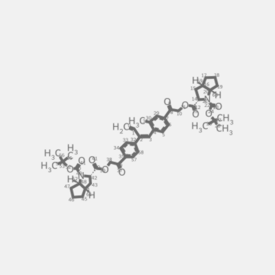 C=C/C(=C\c1ccc(C(=O)COC(=O)[C@@H]2C[C@@H]3CCC[C@@H]3N2C(=O)OC(C)(C)C)cc1C)c1ccc(C(=O)COC(=O)[C@@H]2C[C@@H]3CCC[C@@H]3N2C(=O)OC(C)(C)C)cc1